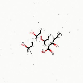 CCC(C)O.CCC(C)O.CCC(C)O.CCCC(=O)CC(=O)O